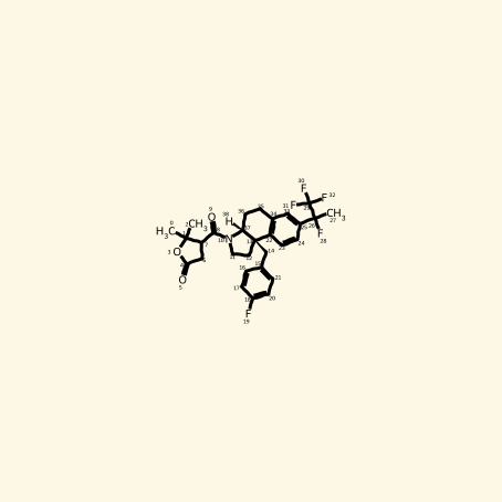 CC1(C)OC(=O)CC1C(=O)N1CC[C@@]2(Cc3ccc(F)cc3)c3ccc(C(C)(F)C(F)(F)F)cc3CC[C@@H]12